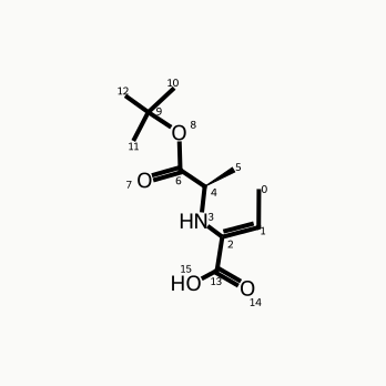 C/C=C(\N[C@H](C)C(=O)OC(C)(C)C)C(=O)O